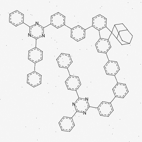 c1ccc(-c2ccc(-c3nc(-c4ccccc4)nc(-c4cccc(-c5cccc(-c6ccc(-c7ccc8c(c7)C7(c9cccc(-c%10cccc(-c%11cccc(-c%12nc(-c%13ccccc%13)nc(-c%13ccc(-c%14ccccc%14)cc%13)n%12)c%11)c%10)c9-8)C8CC9CC(C8)CC7C9)cc6)c5)c4)n3)cc2)cc1